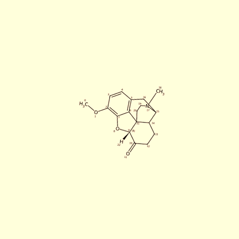 COc1ccc2c3c1O[C@H]1C(=O)CCC4C(C2)N(C)CCC341